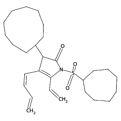 C=C/C=C\C1=C(C=C)N(S(=O)(=O)C2CCCCCCC2)C(=O)C1C1CCCCCCCCC1